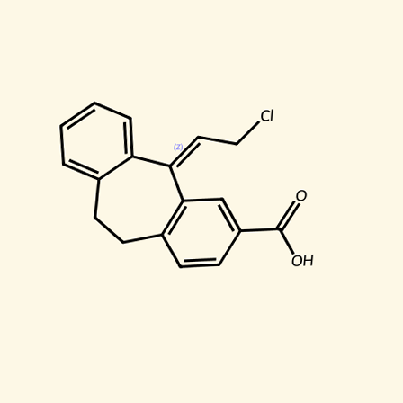 O=C(O)c1ccc2c(c1)/C(=C\CCl)c1ccccc1CC2